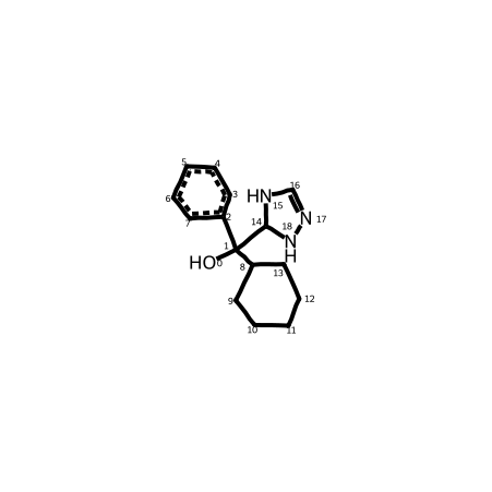 OC(c1ccccc1)(C1CCCCC1)C1NC=NN1